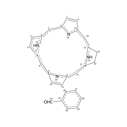 C1=Cc2cc3ccc(cc4nc(cc5[nH]c(cc1n2)CC5)C=C4)[nH]3.O=[C]c1ccccc1